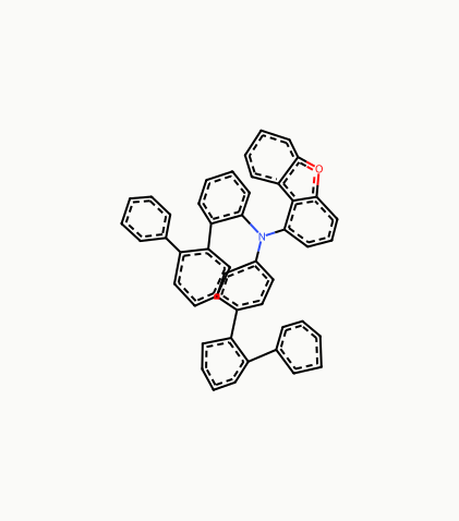 c1ccc(-c2ccccc2-c2ccc(N(c3ccccc3-c3ccccc3-c3ccccc3)c3cccc4oc5ccccc5c34)cc2)cc1